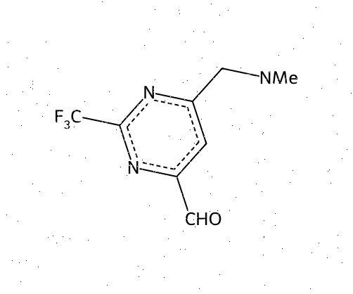 CNCc1cc(C=O)nc(C(F)(F)F)n1